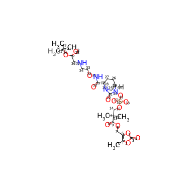 Cc1oc(=O)oc1COC(=O)C(C)(C)COS(=O)(=O)ON1C(=O)N2C[C@H]1CC[C@H]2C(=O)NOCCNCC(=O)OC(C)(C)C